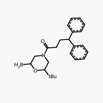 BC1CN(C(=O)CCC(c2ccccc2)c2ccccc2)CC(C(C)(C)C)O1